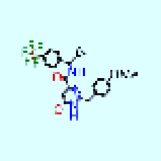 COc1ccc(Cc2nc(C(=O)N[C@@H](c3ccc(S(F)(F)(F)(F)F)cc3)C3CC3)cc(=O)[nH]2)cc1